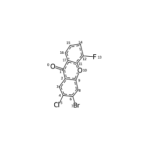 O=c1c2cc(Cl)c(Br)cc2oc2c(F)cccc12